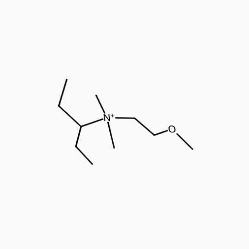 CCC(CC)[N+](C)(C)CCOC